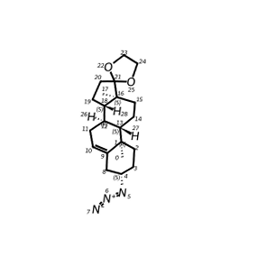 C[C@]12CC[C@H](N=[N+]=[N-])CC1=CC[C@@H]1[C@@H]2CC[C@@]2(C)[C@H]1CCC21OCCO1